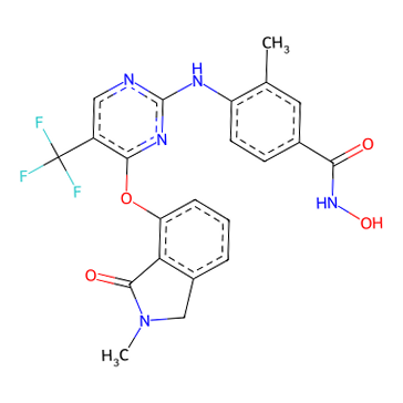 Cc1cc(C(=O)NO)ccc1Nc1ncc(C(F)(F)F)c(Oc2cccc3c2C(=O)N(C)C3)n1